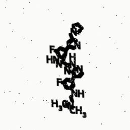 CN(C)CCNc1cc(F)cc(-c2ccnc3[nH]c(-c4n[nH]c5c(F)cc(-c6cncc(CN7CCCC7)c6)cc45)nc23)c1